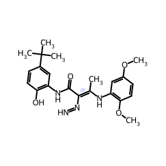 COc1ccc(OC)c(N/C(C)=C(\N=N)C(=O)Nc2cc(C(C)(C)C)ccc2O)c1